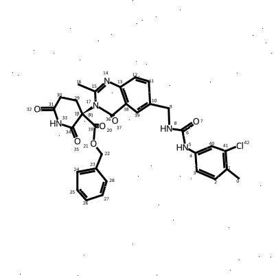 Cc1ccc(NC(=O)NCc2ccc3nc(C)n([C@]4(C(=O)OCc5ccccc5)CCC(=O)NC4=O)c(=O)c3c2)cc1Cl